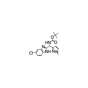 Cn1ccc(C(NC(=O)OC(C)(C)C)c2nc3cc(Cl)ccc3[nH]2)n1